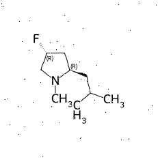 CC(C)C[C@@H]1C[C@@H](F)CN1C